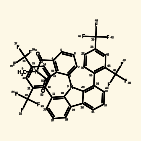 CN1C(=O)c2cccc(-n3c4c(-c5ccc(C(F)(F)F)cc5C(F)(F)F)cccc4c4cccc(-c5ccc(C(F)(F)F)cc5C(F)(F)F)c43)c2C1=O